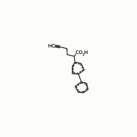 C#CCCC(C(=O)O)c1ccc(-c2ccccc2)cc1